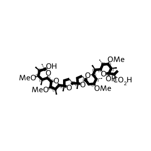 CO[C@@H]1[C@H](C)[C@H]([C@]2(C)CC[C@H]([C@]3(C)CC[C@]4(C[C@H](OC)[C@@H](C)[C@@H]([C@@H](C)[C@H]5O[C@@](O)([C@H](C)C(=O)O)[C@H](C)[C@@H](OC)[C@H]5C)O4)O3)O2)O[C@H]1[C@H]1O[C@](C)(O)[C@H](C)[C@@H](OC)[C@@H]1C